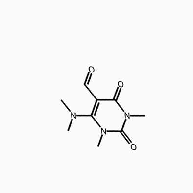 CN(C)c1c(C=O)c(=O)n(C)c(=O)n1C